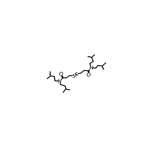 CC(C)CCN(CCC(C)C)C(=O)CCSSCCC(=O)N(CCC(C)C)CCC(C)C